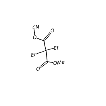 CCC(CC)(C(=O)OC)C(=O)OC#N